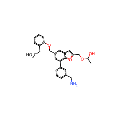 CC(O)OCc1cc2cc(COc3ccccc3CC(=O)O)cc(-c3cccc(CN)c3)c2o1